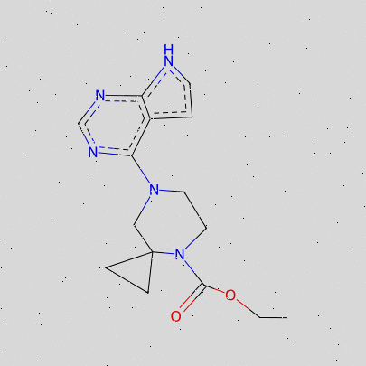 CCOC(=O)N1CCN(c2ncnc3[nH]ccc23)CC12CC2